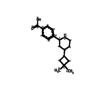 CC1(C)CC(C2CCNC(c3ccc(C(=O)O)cc3)C2)C1